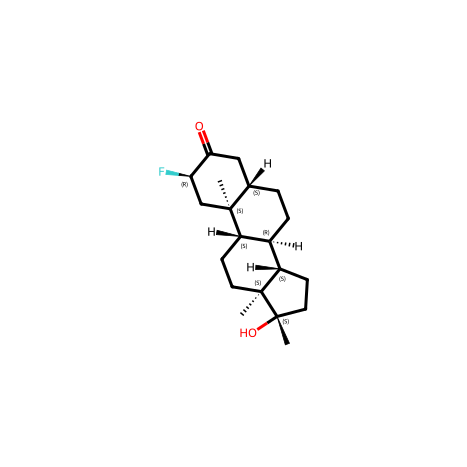 C[C@]12C[C@@H](F)C(=O)C[C@@H]1CC[C@@H]1[C@@H]2CC[C@@]2(C)[C@H]1CC[C@]2(C)O